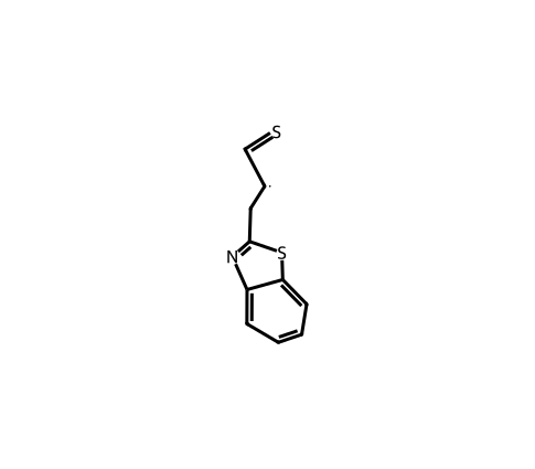 S=C[CH]Cc1nc2ccccc2s1